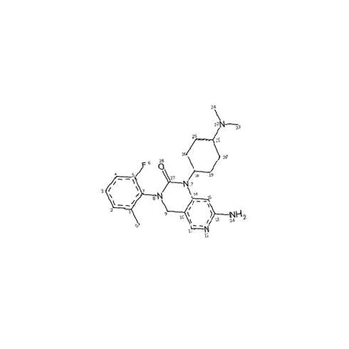 Cc1cccc(F)c1N1Cc2cnc(N)cc2N(C2CCC(N(C)C)CC2)C1=O